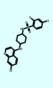 O=S(=O)(NC1CCC(Nc2ccnc3cc(Cl)ccc23)CC1)c1ccc(Cl)cc1F